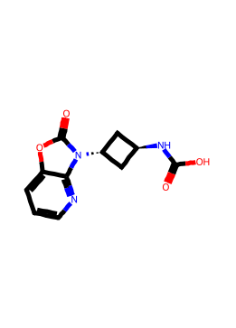 O=C(O)N[C@H]1C[C@H](n2c(=O)oc3cccnc32)C1